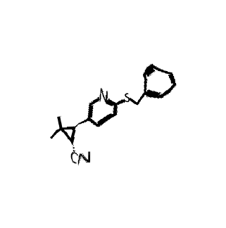 CC1(C)[C@@H](C#N)[C@@H]1c1ccc(SCc2ccccc2)nc1